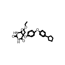 CCOCCC1(Oc2ccc(Oc3ccc(C4CCCC4)cc3)cc2)C(=O)NC(=O)NC1=O